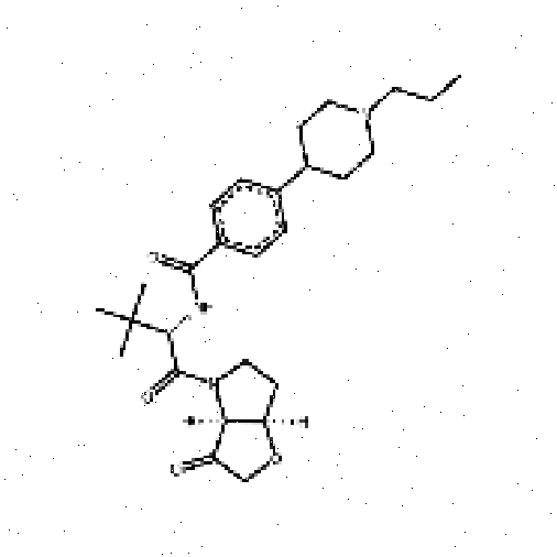 CCCN1CCC(c2ccc(C(=O)N[C@H](C(=O)N3CC[C@H]4OCC(=O)[C@H]43)C(C)(C)C)cc2)CC1